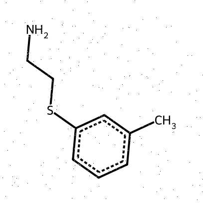 Cc1cccc(SCCN)c1